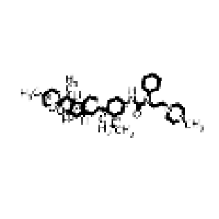 CC[C@@H]1C[C@H](NC(=O)N(CCN2CCN(C)CC2)C2CCCCC2)CC[C@]1(C)[C@H]1CC[C@@]2(C)[C@H](C1)C[C@@H]1O[C@]3(CC[C@H](C)CO3)[C@@H](C)[C@@H]12